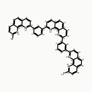 Fc1ccc2ccc3ccc(-c4cccc(-c5ccc6ccc7ccc(-c8cccc(-c9ccc%10ccc%11ccc(F)nc%11c%10n9)c8)nc7c6n5)c4)nc3c2n1